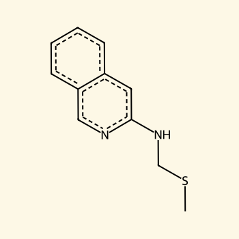 CSCNc1cc2ccccc2cn1